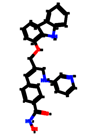 O=C(NO)c1ccc(C=C(CNc2cccnc2)COc2cccc3c2[nH]c2ccccc23)cc1